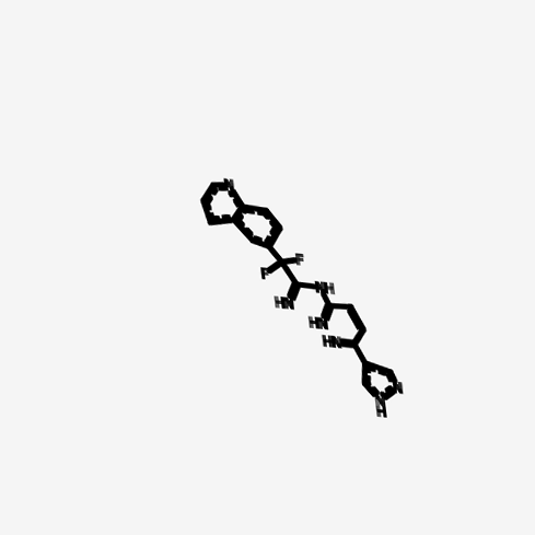 N=C(/C=C\C(=N)c1cn[nH]c1)NC(=N)C(F)(F)c1ccc2ncccc2c1